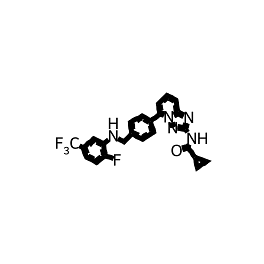 O=C(Nc1nc2cccc(-c3ccc(CNc4cc(C(F)(F)F)ccc4F)cc3)n2n1)C1CC1